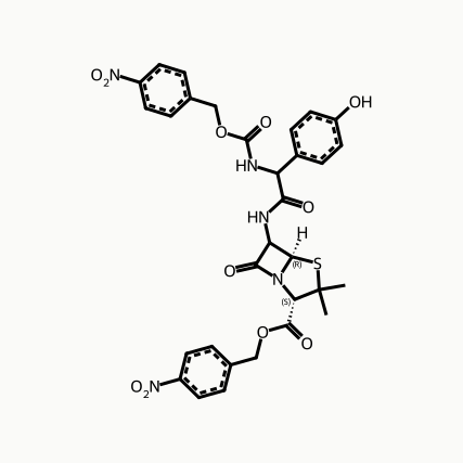 CC1(C)S[C@@H]2C(NC(=O)C(NC(=O)OCc3ccc([N+](=O)[O-])cc3)c3ccc(O)cc3)C(=O)N2[C@H]1C(=O)OCc1ccc([N+](=O)[O-])cc1